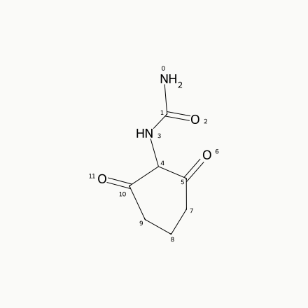 NC(=O)NC1C(=O)CCCC1=O